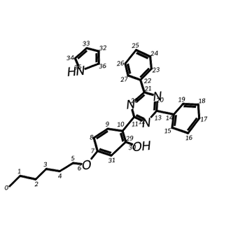 CCCCCCOc1ccc(-c2nc(-c3ccccc3)nc(-c3ccccc3)n2)c(O)c1.c1cc[nH]c1